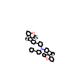 c1ccc(-c2cccc(N(c3cccc(-c4ccc5c(c4)C4(c6ccccc6Oc6ccccc64)c4ccccc4-5)c3)c3ccc4c(c3)C3(c5ccccc5Oc5ccccc53)c3ccccc3-4)c2)cc1